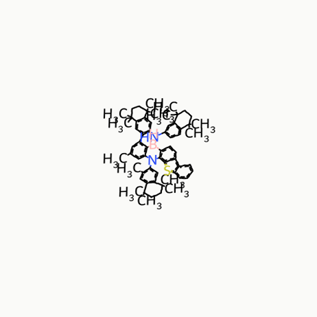 Cc1cc(-c2cc3c(cc2Nc2ccc4c(c2)C(C)(C)CCC4(C)C)C(C)(C)CCC3(C)C)c2c(c1)N(c1cc3c(cc1C)C(C)(C)CCC3(C)C)c1c(ccc3c1sc1ccccc13)B2